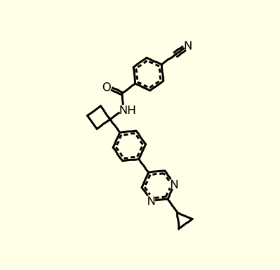 N#Cc1ccc(C(=O)NC2(c3ccc(-c4cnc(C5CC5)nc4)cc3)CCC2)cc1